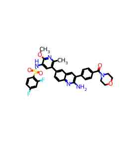 COc1nc(C)c(-c2ccc3nc(N)c(-c4ccc(C(=O)N5CCOCC5)cc4)cc3c2)cc1NS(=O)(=O)c1ccc(F)cc1F